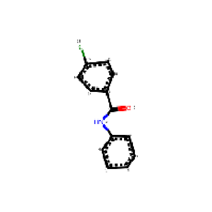 O=C(Nc1ccccc1)c1ccc(Cl)cc1